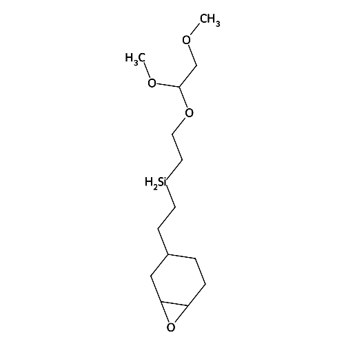 COCC(OC)OCC[SiH2]CCC1CCC2OC2C1